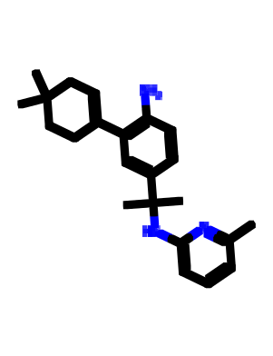 Cc1cccc(NC(C)(C)c2ccc(N)c(C3=CCC(C)(C)CC3)c2)n1